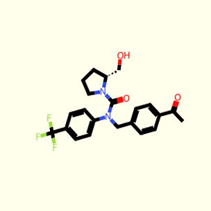 CC(=O)c1ccc(CN(C(=O)N2CCC[C@@H]2CO)c2ccc(C(F)(F)F)cc2)cc1